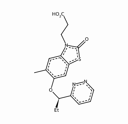 CC[C@@H](Oc1cc2sc(=O)n(CCC(=O)O)c2cc1C)c1cccnn1